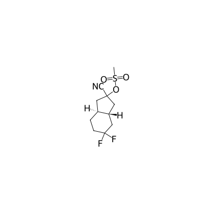 CS(=O)(=O)OC1(C#N)C[C@@H]2CCC(F)(F)C[C@H]2C1